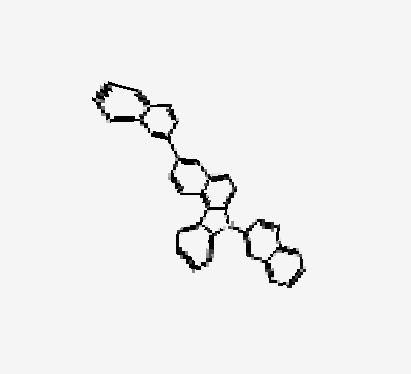 c1ccc2cc(-c3ccc4c(ccc5c4c4ccccc4n5-c4ccc5ccccc5c4)c3)ccc2c1